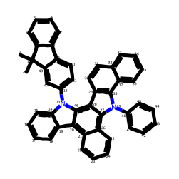 CC1(C)c2ccccc2-c2ccc(-n3c4ccccc4c4c5ccccc5c5c(c6ccc7ccccc7c6n5-c5ccccc5)c43)cc21